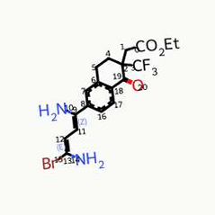 CCOC(=O)CC1(C(F)(F)F)CCc2cc(/C(N)=C/C=C(\N)Br)ccc2C1=O